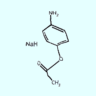 CC(=O)Oc1ccc(N)cc1.[NaH]